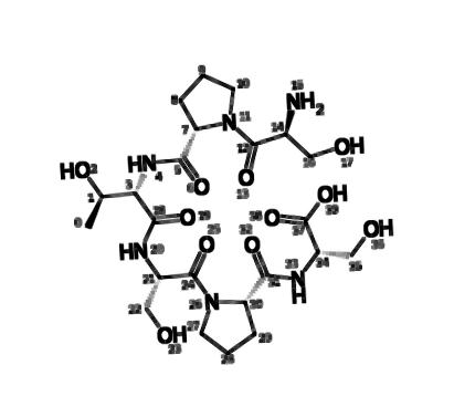 C[C@@H](O)[C@H](NC(=O)[C@@H]1CCCN1C(=O)[C@@H](N)CO)C(=O)N[C@@H](CO)C(=O)N1CCC[C@H]1C(=O)N[C@@H](CO)C(=O)O